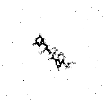 CCCN(CCC)C(=O)c1cc(C)cc(C(=O)N(C[C@@H](O)[C@@H](N)Cc2cc(F)cc(F)c2)[C@@H](CO)[C@@H](C)CC)c1